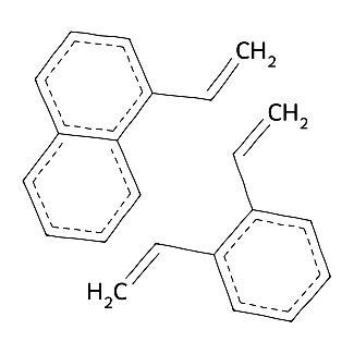 C=Cc1cccc2ccccc12.C=Cc1ccccc1C=C